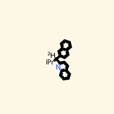 [2H]C(c1ccc2ccccc2c1)(c1ccc2ccccc2n1)C(C)C